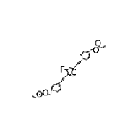 C=COCOCc1ccc(C#Cc2ccc(C#Cc3ccc(COC(=O)C=C)cc3)cc2F)cc1